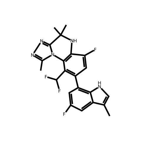 Cc1c[nH]c2c(-c3cc(F)c4c(c3C(F)F)-n3c(C)nnc3C(C)(C)N4)cc(F)cc12